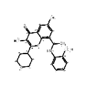 Cc1cc(C(C)Nc2ccccc2C(=O)O)c2oc(C3CCOCC3)c(C)c(=O)c2c1